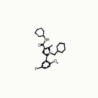 COc1ccc(F)cc1-c1cc(C(=O)NC2CCCCC2)c(C)n1CC1CCCCC1